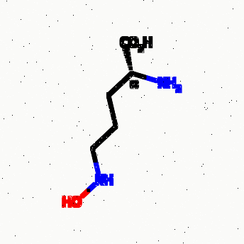 N[C@H](CCCNO)C(=O)O